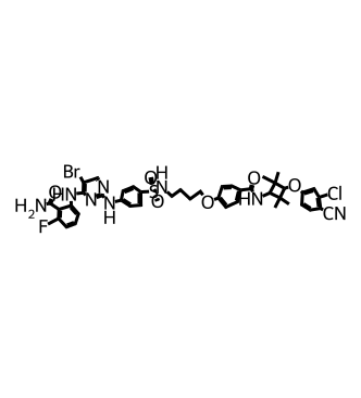 CC1(C)C(NC(=O)c2ccc(OCCCCNS(=O)(=O)c3ccc(Nc4ncc(Br)c(Nc5cccc(F)c5C(N)=O)n4)cc3)cc2)C(C)(C)C1Oc1ccc(C#N)c(Cl)c1